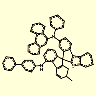 CC1C=CC2=C(C1)C1(c3cc(N(c4ccccc4)c4cc5ccccc5c5ccccc45)ccc3-c3c1sc1ccccc31)c1cccc(Nc3ccc(-c4ccccc4)cc3)c12